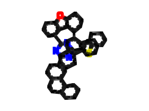 c1ccc(-c2nc(-c3ccc4ccc5ccccc5c4c3)nc(-c3cccc4oc5cccc(-c6cc7ccccc7c7sc8ccccc8c67)c5c34)n2)cc1